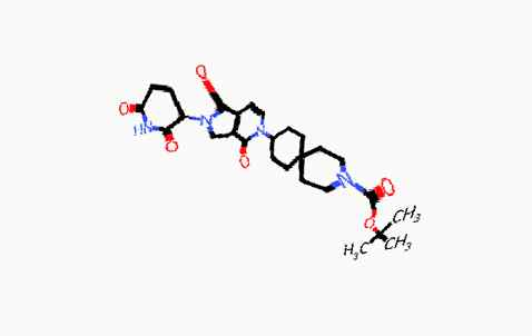 CC(C)(C)OC(=O)N1CCC2(CCC(n3ccc4c(c3=O)CN([C@@H]3CCC(=O)NC3=O)C4=O)CC2)CC1